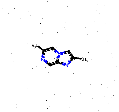 Cc1cn2cc(C)nc2cn1